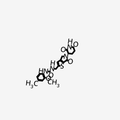 COc1cc(C)ccc1NC(=O)NCc1cc2c(s1)C(=O)N(C1CCC(=O)NC1=O)C2